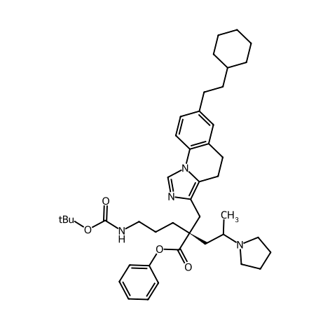 CC(C[C@@](CCCNC(=O)OC(C)(C)C)(Cc1ncn2c1CCc1cc(CCC3CCCCC3)ccc1-2)C(=O)Oc1ccccc1)N1CCCC1